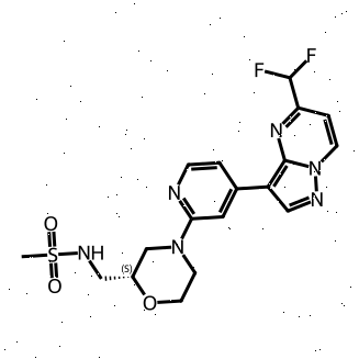 CS(=O)(=O)NC[C@@H]1CN(c2cc(-c3cnn4ccc(C(F)F)nc34)ccn2)CCO1